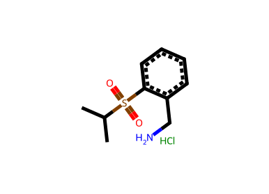 CC(C)S(=O)(=O)c1ccccc1CN.Cl